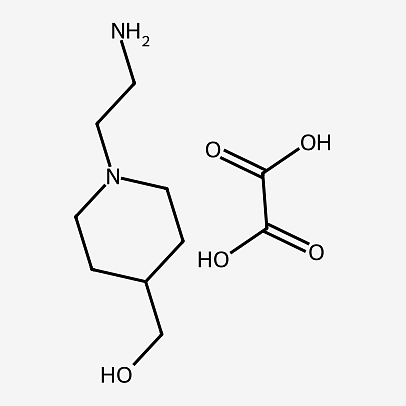 NCCN1CCC(CO)CC1.O=C(O)C(=O)O